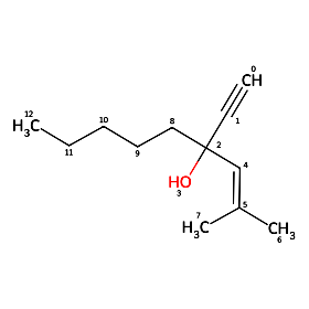 C#CC(O)(C=C(C)C)CCCCC